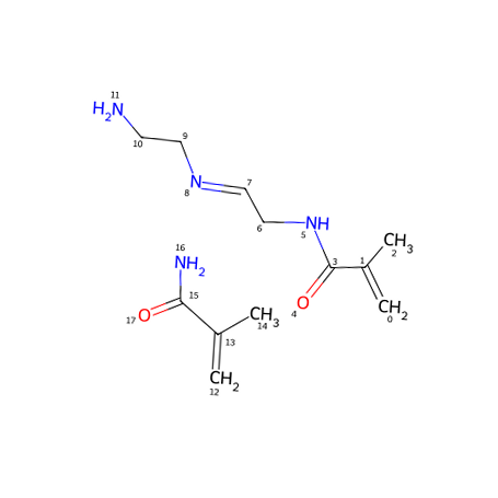 C=C(C)C(=O)NCC=NCCN.C=C(C)C(N)=O